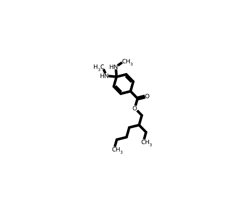 CCCCC(CC)COC(=O)C1C=CC(NC)(NC)C=C1